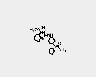 CN(C)c1nc(NC2CCC(N(C(N)=O)C3CCCC3)CC2)nc2c1CCCC2